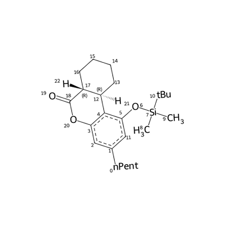 CCCCCc1cc2c(c(O[Si](C)(C)C(C)(C)C)c1)[C@@H]1CCCC[C@H]1C(=O)O2